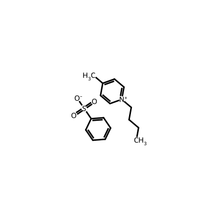 CCCC[n+]1ccc(C)cc1.O=S(=O)([O-])c1ccccc1